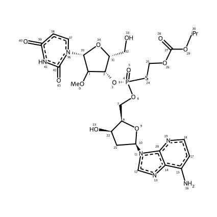 COC1[C@@H](O[P@@](=O)(OC[C@H]2O[C@@H](n3cnc4c(N)ccnc43)C[C@H]2O)SCOC(=O)OC(C)C)[C@@H](CO)O[C@H]1n1ccc(=O)[nH]c1=O